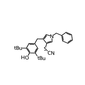 CC(C)(C)c1cc(Cc2cn(Cc3ccccc3)cc2SC#N)cc(C(C)(C)C)c1O